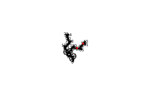 CCOC(=O)c1ccc(OCC=C(C)CCC=C(C)CCC=C(C)C)c(OCC=C(C)CCC=C(C)CCC=C(C)C)c1